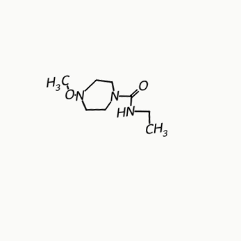 CCNC(=O)N1CCN(OC)CC1